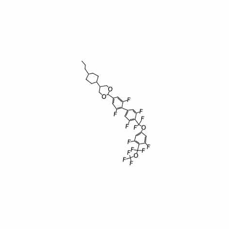 CCCC1CCC(C2COC(c3cc(F)c(-c4cc(F)c(C(F)(F)Oc5cc(F)c(C(F)(F)OC(F)(F)F)c(F)c5)c(F)c4)c(F)c3)OC2)CC1